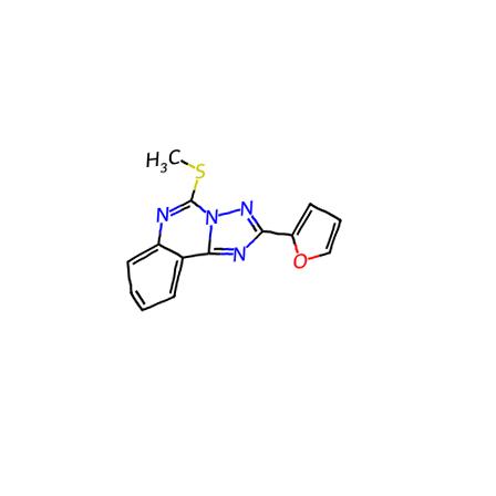 CSc1nc2ccccc2c2nc(-c3ccco3)nn12